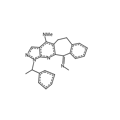 C/N=C1\c2ccccc2CCc2c1nc1c(cnn1C(C)c1ccccc1)c2NC